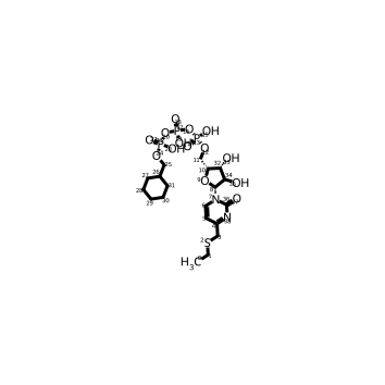 CCSCc1ccn([C@@H]2O[C@H](COP(=O)(O)OP(=O)(O)OP(=O)(O)OCC3CCCCC3)[C@H](O)C2O)c(=O)n1